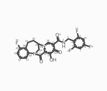 O=C(NCc1c(F)cc(F)cc1F)c1cn2c(c(O)c1=O)C(=O)N1CC2CCc2c(F)cccc21